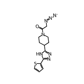 [N-]=[N+]=NCC(=O)N1CCC(c2nnc(-c3cccs3)[nH]2)CC1